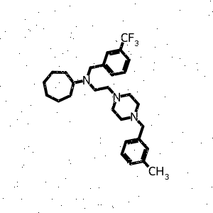 Cc1cccc(CN2CCN(CCN(Cc3cccc(C(F)(F)F)c3)C3CCCCCC3)CC2)c1